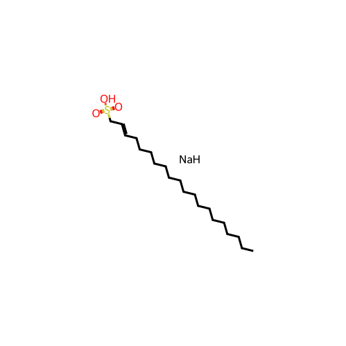 CCCCCCCCCCCCCCCCCC=CCS(=O)(=O)O.[NaH]